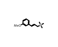 COc1cccc(/C=C/C[Si](C)(C)C)c1